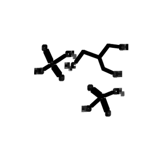 CCC(CO)CO.CS(=O)(=O)O.CS(=O)(=O)O